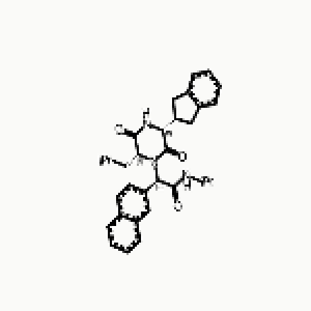 CC(C)C[C@@H]1C(=O)N[C@H](C2Cc3ccccc3C2)C(=O)N1[C@@H](C(=O)NC(C)C)c1ccc2ccccc2c1